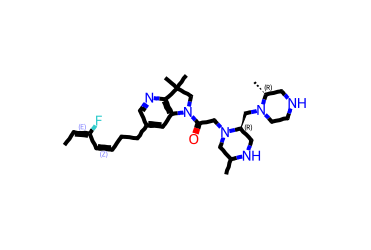 C/C=C(F)\C=C/CCc1cnc2c(c1)N(C(=O)CN1CC(C)NC[C@@H]1CN1CCNC[C@H]1C)CC2(C)C